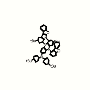 CC(C)(C)C1=Cc2c3n(c4oc5ccccc5c24)-c2cc(C(C)(C)C)cc4c2B(c2ccc(N(c5ccc(C(C)(C)C)cc5)c5ccc(C(C)(C)C)cc5)cc2N4c2cccc4oc5ccccc5c24)C3C1